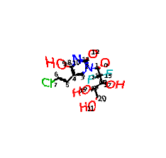 O=C(n1cc(C=CCl)c(O)nc1=O)C(F)(F)[C@@H](O)[C@H](O)CO